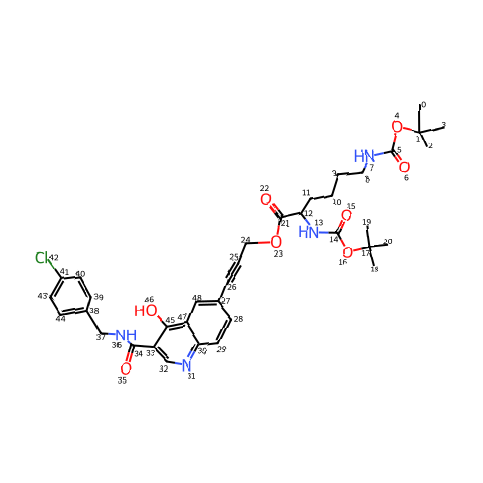 CC(C)(C)OC(=O)NCCCCC(NC(=O)OC(C)(C)C)C(=O)OCC#Cc1ccc2ncc(C(=O)NCc3ccc(Cl)cc3)c(O)c2c1